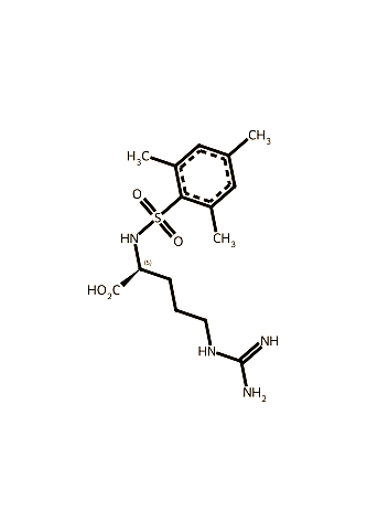 Cc1cc(C)c(S(=O)(=O)N[C@@H](CCCNC(=N)N)C(=O)O)c(C)c1